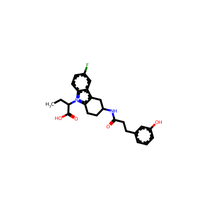 CCC(C(=O)O)n1c2c(c3cc(F)ccc31)CC(NC(=O)CCc1cccc(O)c1)CC2